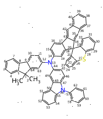 CC1(C)c2ccccc2-c2ccc(N(c3ccc4c(c3)C3(c5ccccc5Sc5ccccc53)c3cc5ccccc5cc3-4)c3ccc4c(c3)c3ccccc3n4-c3ccccc3)cc21